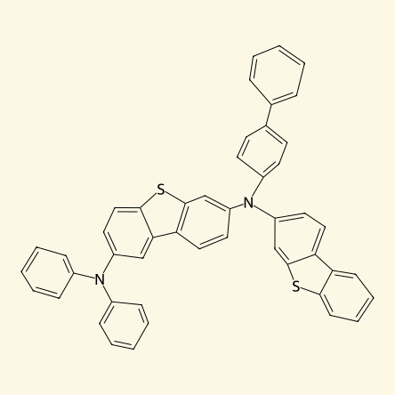 c1ccc(-c2ccc(N(c3ccc4c(c3)sc3ccccc34)c3ccc4c(c3)sc3ccc(N(c5ccccc5)c5ccccc5)cc34)cc2)cc1